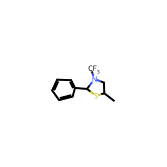 CC1CN(C(F)(F)F)C(c2ccccc2)S1